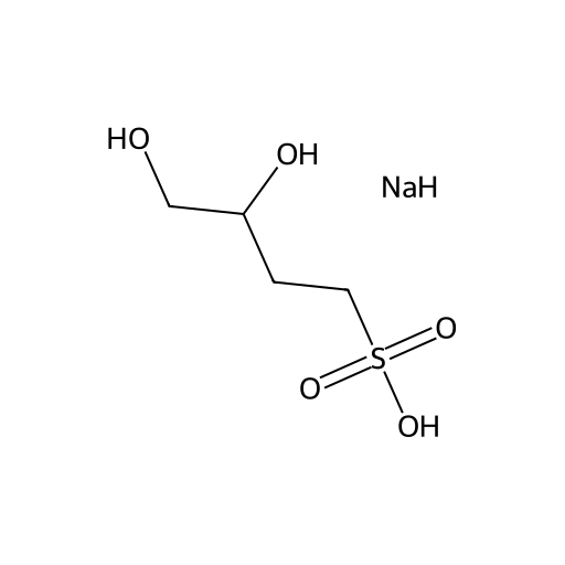 O=S(=O)(O)CCC(O)CO.[NaH]